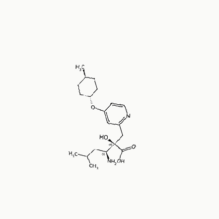 CC(C)C[C@H](N)[C@](O)(Cc1cc(O[C@H]2CC[C@H](C)CC2)ccn1)C(=O)O